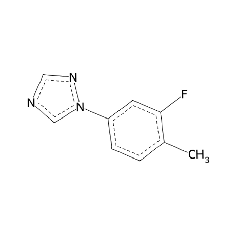 Cc1ccc(-n2cncn2)cc1F